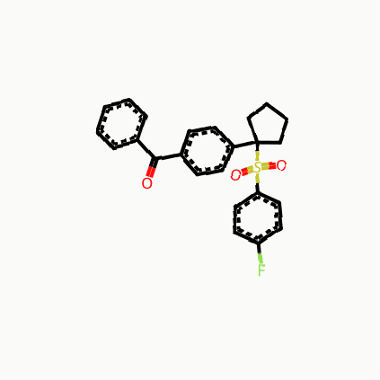 O=C(c1ccccc1)c1ccc(C2(S(=O)(=O)c3ccc(F)cc3)CCCC2)cc1